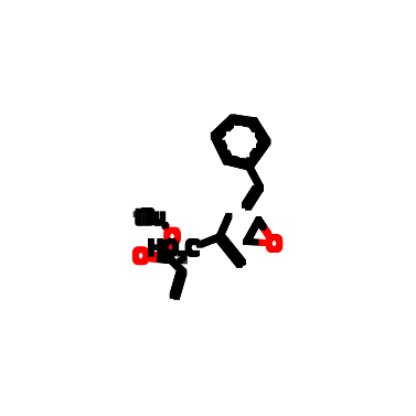 C1CO1.C=C(C)C(=O)O.C=CC(=O)OC(C)(C)C.C=Cc1ccccc1